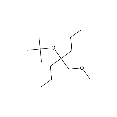 CCCC(CCC)(COC)OC(C)(C)C